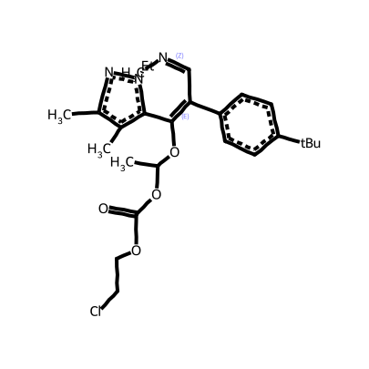 CCn1nc(C)c(C)c1/C(OC(C)OC(=O)OCCCl)=C(\C=N/C)c1ccc(C(C)(C)C)cc1